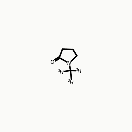 [2H]C([2H])([2H])N1CCCC1=O